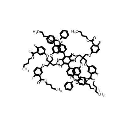 CCCCOC(=O)c1cc(OCC(COc2ccc(F)c(C(=O)OCCCC)c2)(COc2ccc(F)c(C(=O)OCCCC)c2)Cn2nc3c(-c4ccc(N(c5ccccc5)c5ccccc5)cc4)c4n[n+](CC(COc5ccc(F)c(C(=O)OCCCC)c5)(COc5ccc(F)c(C(=O)OCCCC)c5)COc5ccc(F)c(C(=O)OCCCC)c5)[n-]c4c(-c4ccc(N(c5ccccc5)c5ccccc5)cc4)c3n2)ccc1F